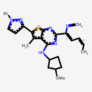 C=N/C(=C\C=C/C)c1nc(NC2CCC(OC)C2)c2c(C)c(-c3ccn(C(C)C)n3)sc2n1